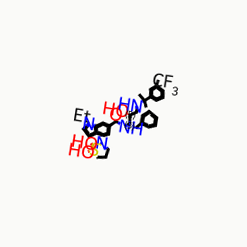 CCn1ccc2c(N3CCCS3(O)O)cc(C(=O)N[C@@H](Cc3ccccc3)[C@H](O)CNC(C)(C)c3cccc(C(F)(F)F)c3)cc21